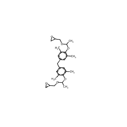 Cc1cc(Cc2cc(C)c(OC(C)OCC3CO3)c(C)c2)cc(C)c1OC(C)OCC1CO1